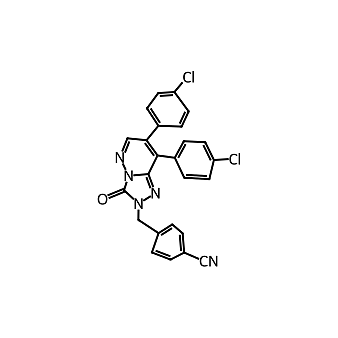 N#Cc1ccc(Cn2nc3c(-c4ccc(Cl)cc4)c(-c4ccc(Cl)cc4)cnn3c2=O)cc1